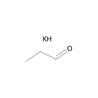 CCC=O.[KH]